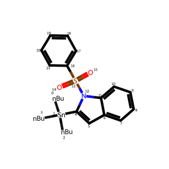 CCC[CH2][Sn]([CH2]CCC)([CH2]CCC)[c]1cc2ccccc2n1S(=O)(=O)c1ccccc1